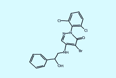 O=c1c(Br)c(NCC(O)c2ccccc2)cnn1-c1c(Cl)cccc1Cl